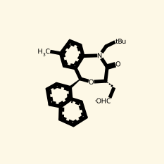 Cc1ccc2c(c1)[C@H](c1cccc3ccccc13)O[C@@H](C[C]=O)C(=O)N2CC(C)(C)C